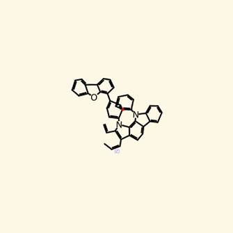 C=Cc1c(/C=C\C)c2ccc3c4ccccc4n(-c4ccccc4)c3c2n1-c1ccc(-c2cccc3c2oc2ccccc23)cc1